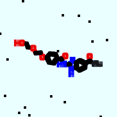 CC(C)(C)C(=O)c1ccc2[nH]c(NC(=O)c3ccc(OCCOCCO)cc3)nc2c1